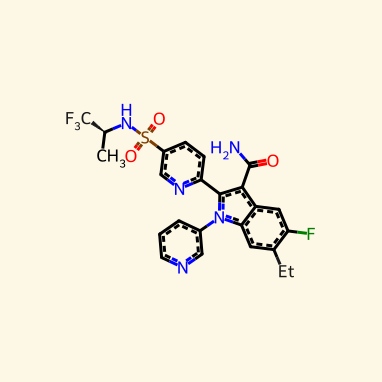 CCc1cc2c(cc1F)c(C(N)=O)c(-c1ccc(S(=O)(=O)N[C@@H](C)C(F)(F)F)cn1)n2-c1cccnc1